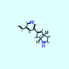 C=Cc1cncc(C2=C[C@@H]3CCN[C@@H]3C2)c1